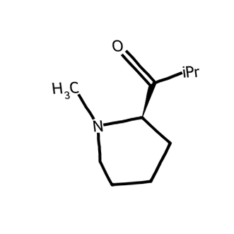 CC(C)C(=O)[C@H]1CCCCN1C